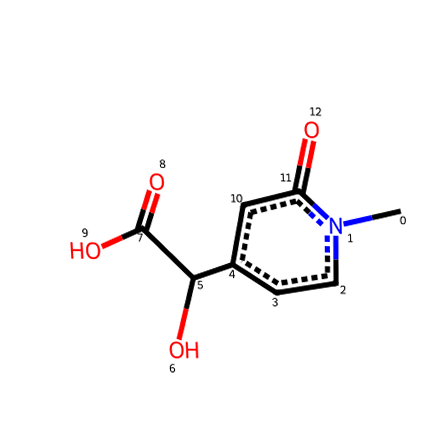 Cn1ccc(C(O)C(=O)O)cc1=O